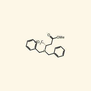 COC(=O)C[C@@H](C(=O)O)N(Cc1ccccc1)Cc1ccccc1